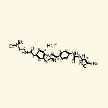 CCN(CC)CCNC(=O)Cc1ccc2c(c1)sc1nc(-c3ccc(NC(=O)Nc4cc(C(C)(C)C)on4)cc3)cn12.Cl